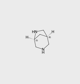 C1NC[C@@H]2C[C@H]1CN2